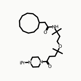 CC(C)N1CCN(C(=O)CCC(C)(C)OCCC(C)(C)NC(=O)CC2CCCCCCCCCC2)CC1